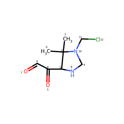 CC1(C)C(C(=O)C=O)NCN1CCl